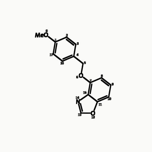 COc1ccc(COc2cccc3ocnc23)cc1